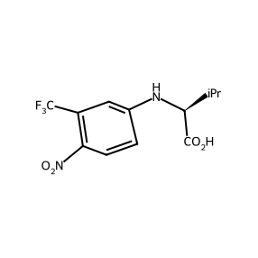 CC(C)[C@H](Nc1ccc([N+](=O)[O-])c(C(F)(F)F)c1)C(=O)O